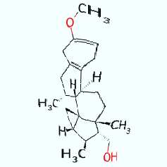 COC1=CCC2=C(C1)C[C@@H](C)[C@@H]1[C@@H]2CC[C@]2(C)[C@H](CO)[C@@H](C)[C@@H]3C[C@]132